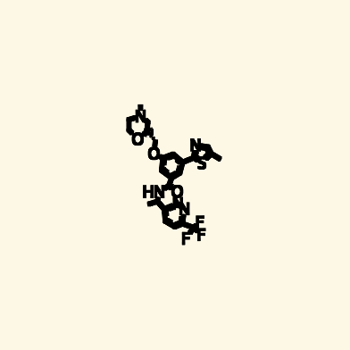 Cc1cnc(-c2cc(OC[C@H]3CN(C)CCO3)cc(C(=O)NC(C)c3ccc(C(F)(F)F)nn3)c2)s1